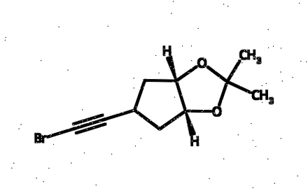 CC1(C)O[C@H]2CC(C#CBr)C[C@H]2O1